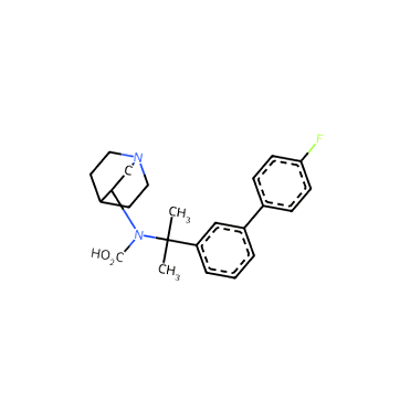 CC(C)(c1cccc(-c2ccc(F)cc2)c1)N(C(=O)O)C1CN2CCC1CC2